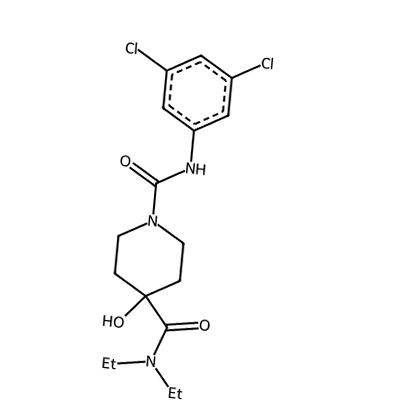 CCN(CC)C(=O)C1(O)CCN(C(=O)Nc2cc(Cl)cc(Cl)c2)CC1